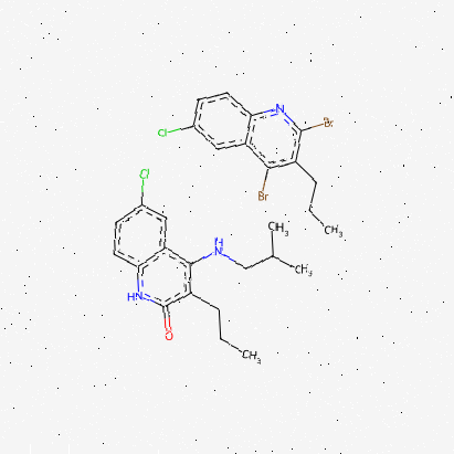 CCCc1c(Br)nc2ccc(Cl)cc2c1Br.CCCc1c(NCC(C)C)c2cc(Cl)ccc2[nH]c1=O